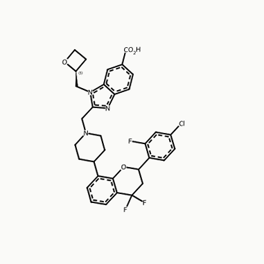 O=C(O)c1ccc2nc(CN3CCC(c4cccc5c4OC(c4ccc(Cl)cc4F)CC5(F)F)CC3)n(C[C@@H]3CCO3)c2c1